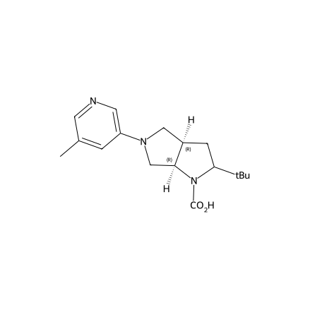 Cc1cncc(N2C[C@H]3CC(C(C)(C)C)N(C(=O)O)[C@H]3C2)c1